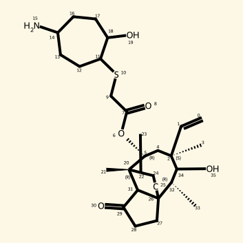 C=C[C@]1(C)C[C@@H](OC(=O)CSC2CCC(N)CCC2O)[C@]2(C)C(C)CCC3(CCC(=O)C32)[C@@H](C)C1O